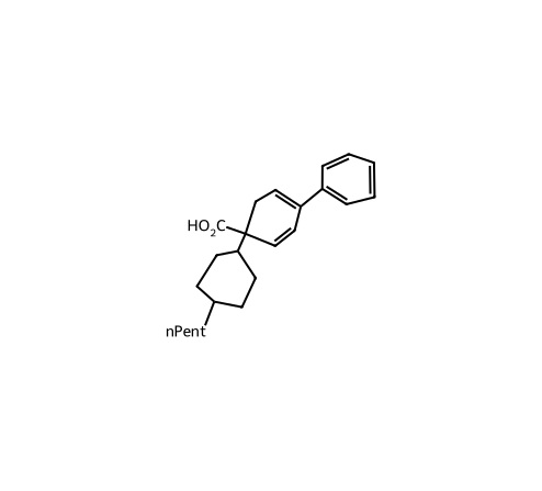 CCCCCC1CCC(C2(C(=O)O)C=CC(c3ccccc3)=CC2)CC1